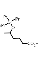 CC(CCCC(=O)O)O[Si](C(C)C)(C(C)C)C(C)C